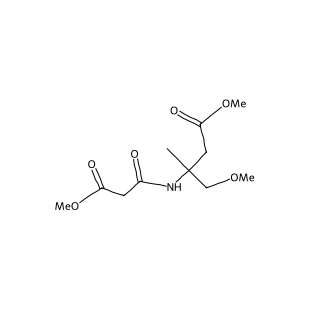 COCC(C)(CC(=O)OC)NC(=O)CC(=O)OC